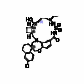 CC[C@@H]1C/C=C/[C@H](O)[C@@H]2CC[C@H]2CN2C[C@@]3(CCCc4cc(Cl)ccc43)COc3ccc(cc32)C(=O)NS(=O)(=O)N1